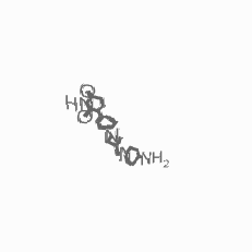 NC1CCN(CC2CN(c3ccc(C4CCC(=O)NC4=O)cc3)C2)CC1